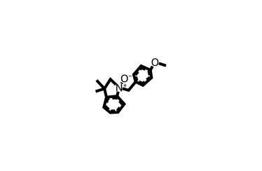 COc1ccc(C[N+]2([O-])CC(C)(C)c3ccccc32)cc1